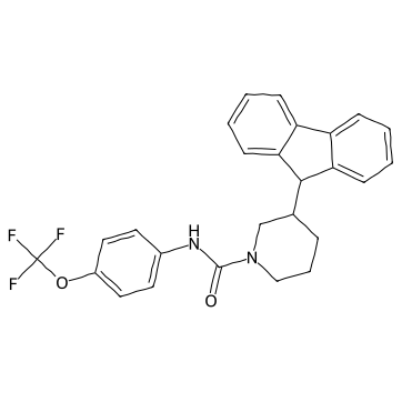 O=C(Nc1ccc(OC(F)(F)F)cc1)N1CCCC(C2c3ccccc3-c3ccccc32)C1